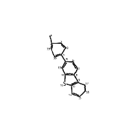 Cc1ccc(-c2ccc3c4c(sc3c2)C=CCC4)cc1